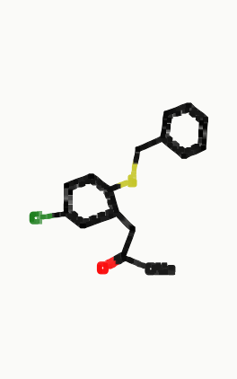 COC(=O)Cc1cc(Cl)ccc1SCc1ccccc1